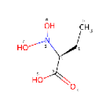 CC[C@@H](C(=O)O)N(O)O